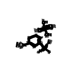 Nc1cccc(C(F)(F)F)c1.O=S(=O)(O)O